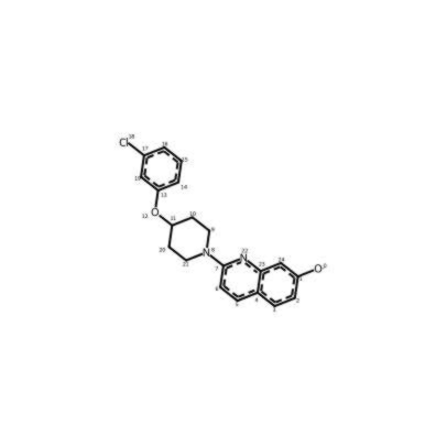 [O]c1ccc2ccc(N3CCC(Oc4cccc(Cl)c4)CC3)nc2c1